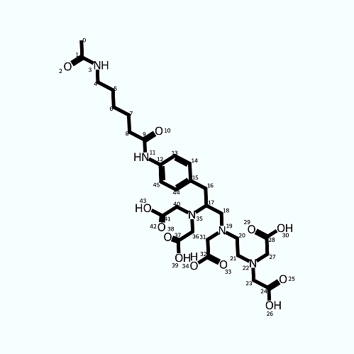 CC(=O)NCCCCCC(=O)Nc1ccc(CC(CN(CCN(CC(=O)O)CC(=O)O)CC(=O)O)N(CC(=O)O)CC(=O)O)cc1